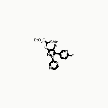 CCOC(=O)C(Oc1nn(-c2cnccn2)c(-c2ccc(F)nc2)c1Br)SC